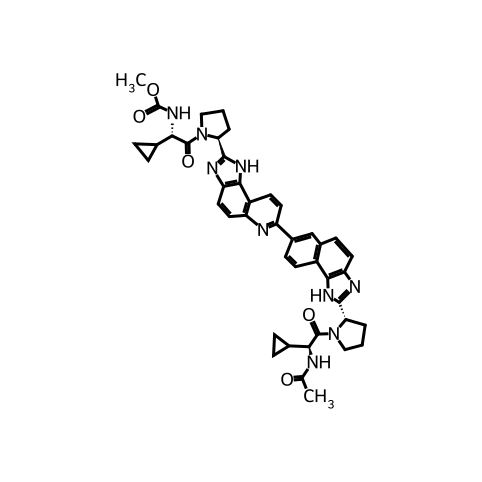 COC(=O)N[C@H](C(=O)N1CCC[C@H]1c1nc2ccc3nc(-c4ccc5c(ccc6nc([C@@H]7CCCN7C(=O)[C@@H](NC(C)=O)C7CC7)[nH]c65)c4)ccc3c2[nH]1)C1CC1